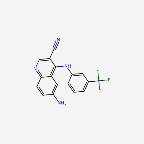 N#Cc1cnc2ccc(N)cc2c1Nc1cccc(C(F)(F)F)c1